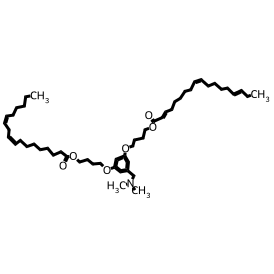 CC/C=C/CCCC/C=C\CCCCC/C=C/C(=O)OCCCCOc1cc(CN(C)C)cc(OCCCCOC(=O)CCCCCCC/C=C\C/C=C\CCCCC)c1